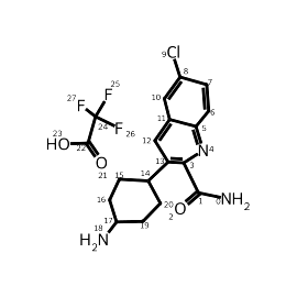 NC(=O)c1nc2ccc(Cl)cc2cc1C1CCC(N)CC1.O=C(O)C(F)(F)F